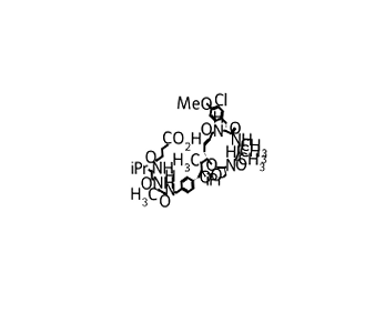 COc1ccc(C[C@H]2NC(=O)/C=C/C[C@@H]([C@H](C)[C@H]3O[C@@H]3c3ccc(CNC(=O)C(C)NC(=O)C(NC(=O)CCCC(=O)O)C(C)C)cc3)OC(=O)[C@H](CC(C)C)NC(=O)C(C)(C)C(C)NC2=O)cc1Cl